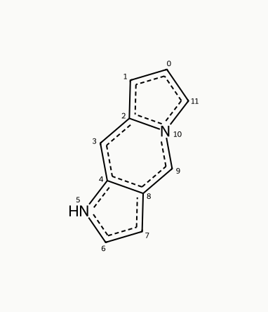 c1cc2cc3[nH]ccc3cn2c1